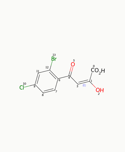 O=C(O)/C(O)=C\C(=O)c1ccc(Cl)cc1Br